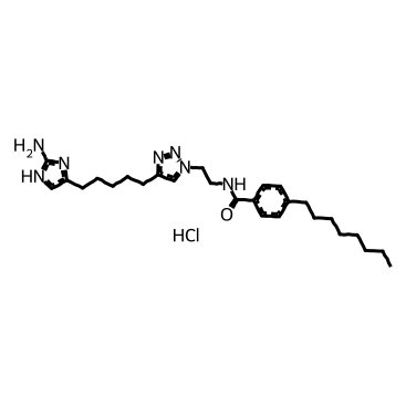 CCCCCCCCc1ccc(C(=O)NCCn2cc(CCCCCc3c[nH]c(N)n3)nn2)cc1.Cl